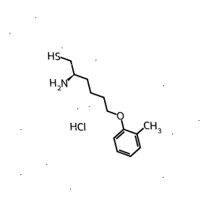 Cc1ccccc1OCCCC[C@@H](N)CS.Cl